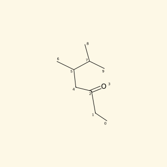 CCC(=O)CC(C)C(C)C